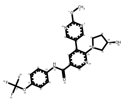 COc1ncc(-c2cc(C(=O)Nc3ccc(OC(F)(F)F)cc3)cnc2N2CC[C@@H](O)C2)cn1